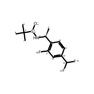 C[C@H](N[S+]([O-])C(C)(C)C)c1ccc(C(F)F)cc1F